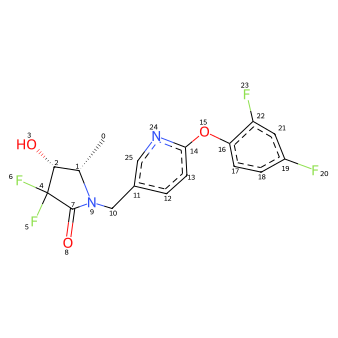 C[C@H]1[C@@H](O)C(F)(F)C(=O)N1Cc1ccc(Oc2ccc(F)cc2F)nc1